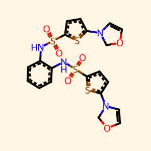 O=S(=O)(Nc1ccccc1NS(=O)(=O)c1ccc(N2C=COC2)s1)c1ccc(N2C=COC2)s1